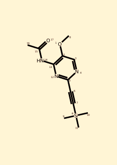 COc1cnc(C#C[Si](C)(C)C)nc1NC(C)=O